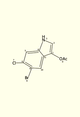 CC(=O)Oc1c[nH]c2cc(Cl)c(Br)cc12